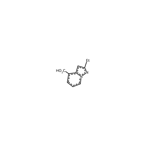 CCc1cc2c(C(=O)O)cccn2n1